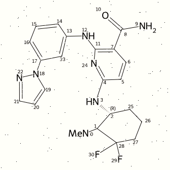 CNC1[C@H](Nc2ccc(C(N)=O)c(Nc3cccc(-n4cccn4)c3)n2)CCCC1(F)F